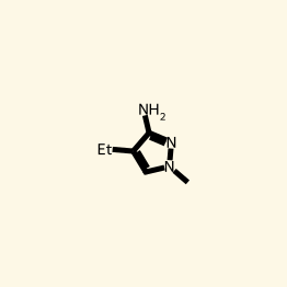 CCc1cn(C)nc1N